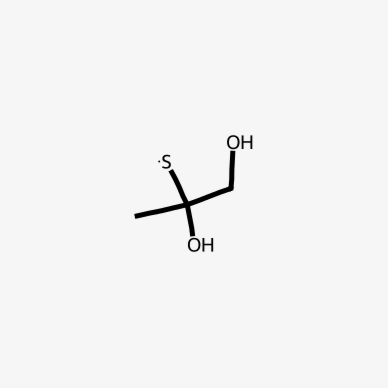 CC(O)([S])CO